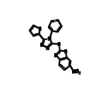 O=[N+]([O-])c1ccc2nc(Sc3nnc(-c4cccs4)n3-c3ccccc3)sc2c1